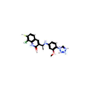 COc1cc(N[C@@H](C)c2cc3ccc(F)c(Cl)c3[nH]c2=O)ccc1-n1cnnn1